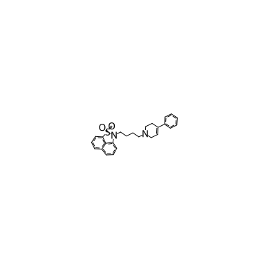 O=S1(=O)c2cccc3cccc(c23)N1CCCCN1CC=C(c2ccccc2)CC1